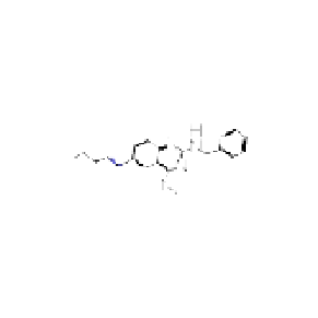 CCC/C=C/c1ccc2nc(NCc3ccccc3)nc(NC)c2c1